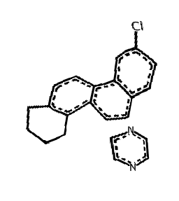 Clc1ccc2ccc3c4c(ccc3c2c1)CCCC4.c1cnccn1